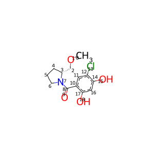 COC[C@H]1CCCN1C(=O)c1cc(Cl)c(O)cc1O